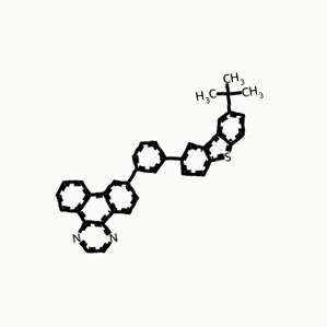 CC(C)(C)c1ccc2sc3ccc(-c4cccc(-c5ccc6c(c5)c5ccccc5c5nccnc65)c4)cc3c2c1